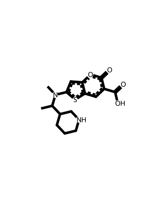 CC(C1CCCNC1)N(C)c1cc2oc(=O)c(C(=O)O)cc2s1